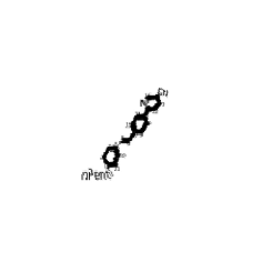 CCCCC[C@H]1CC[C@H](CCc2ccc(-c3ccc(C#N)cn3)cc2)CC1